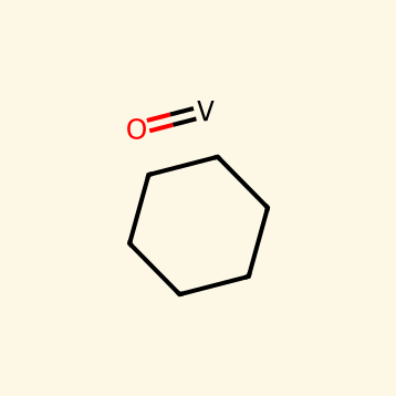 C1CCCCC1.[O]=[V]